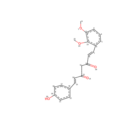 COc1cccc(C=CC(=O)CC(=O)C=Cc2ccc(O)cc2)c1OC